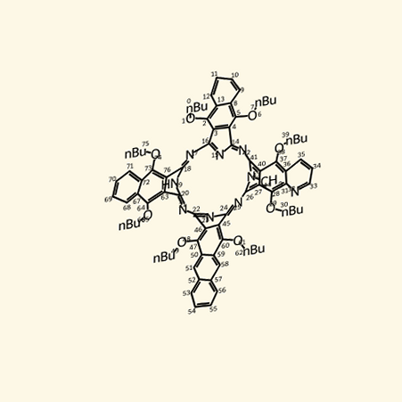 CCCCOc1c2c(c(OCCCC)c3ccccc13)-c1nc-2nc2[nH]c(nc3nc(nc4c5c(OCCCC)c6ncccc6c(OCCCC)c5c(n1)n4C)-c1c-3c(OCCCC)c3cc4ccccc4cc3c1OCCCC)c1c(OCCCC)c3ccccc3c(OCCCC)c21